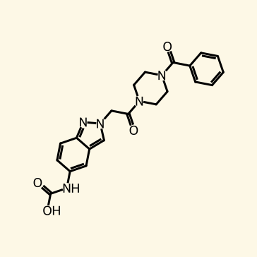 O=C(O)Nc1ccc2nn(CC(=O)N3CCN(C(=O)c4ccccc4)CC3)cc2c1